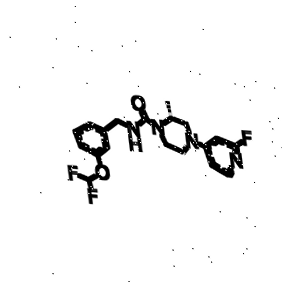 C[C@@H]1CN(c2ccnc(F)c2)CCN1C(=O)NCc1cccc(OC(F)F)c1